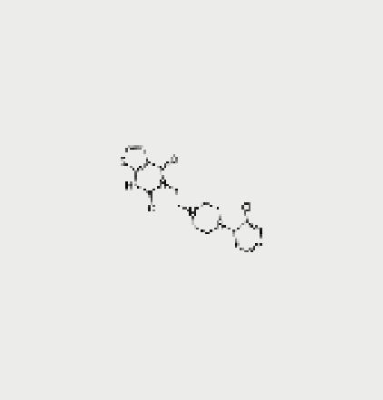 O=c1[nH]c2sccc2c(=O)n1CCN1CCN(c2ccccc2Cl)CC1